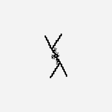 CCCCCCCCCCCCC(CCCCCCCCCC)Cc1cc(-c2c(F)c(F)c(-c3cc(CC(CCCCCCCCCC)CCCCCCCCCCCC)c(Br)s3)c3nsnc23)sc1Br